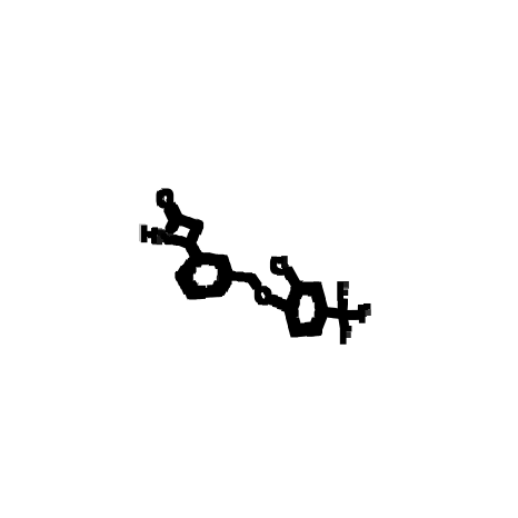 O=C1CC(c2cccc(COc3ccc(C(F)(F)F)cc3Cl)c2)N1